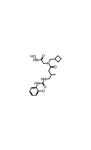 CC(CNC(=O)Nc1ccccc1Cl)CC(=O)N(CC(=O)NO)CC1CCC1